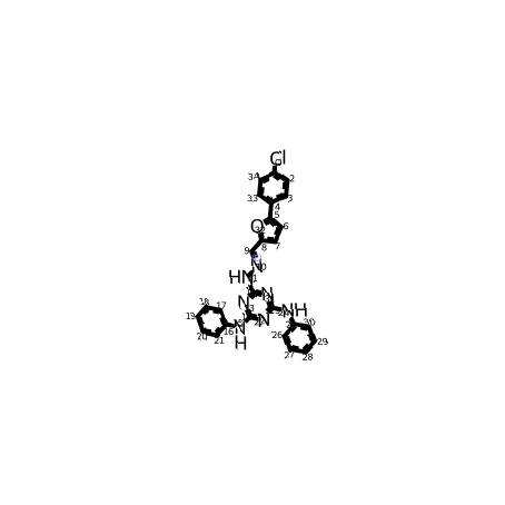 Clc1ccc(-c2ccc(/C=N/Nc3nc(Nc4ccccc4)nc(Nc4ccccc4)n3)o2)cc1